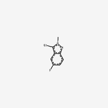 CCc1c2cc(F)ccc2nn1C